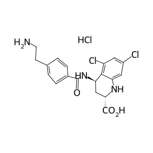 Cl.NCCc1ccc(C(=O)N[C@@H]2C[C@@H](C(=O)O)Nc3cc(Cl)cc(Cl)c32)cc1